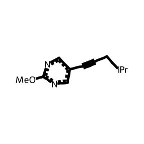 COc1ncc(C#CCC(C)C)cn1